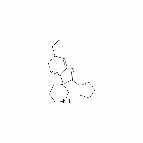 CCc1ccc(C2(C(=O)C3CCCC3)C[CH]CNC2)cc1